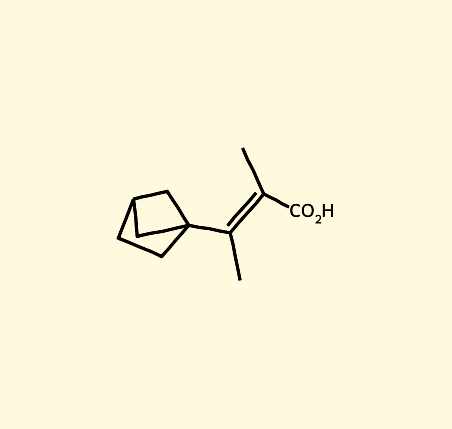 CC(C(=O)O)=C(C)C12CCC(C1)C2